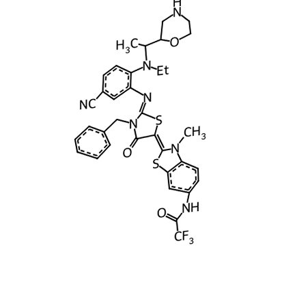 CCN(c1ccc(C#N)cc1N=C1SC(=C2Sc3cc(NC(=O)C(F)(F)F)ccc3N2C)C(=O)N1Cc1ccccc1)C(C)C1CNCCO1